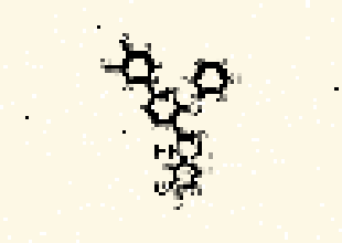 Cc1ccc(-c2ccc(C3=NC[C@]4(C=CS(=O)(=O)C4)N3)c(Oc3ccccc3)n2)cc1C